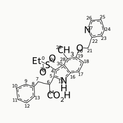 CCS(=O)(=O)c1c(C(Cc2ccccc2)C(=O)O)[nH]c2ccc(OCc3ccccn3)c(C)c12